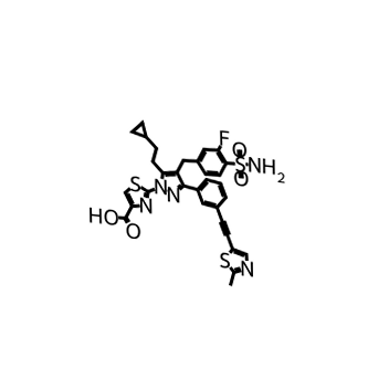 Cc1ncc(C#Cc2cccc(-c3nn(-c4nc(C(=O)O)cs4)c(CCC4CC4)c3Cc3ccc(S(N)(=O)=O)c(F)c3)c2)s1